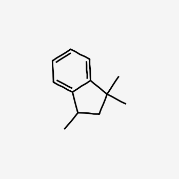 CC1CC(C)(C)c2ccccc21